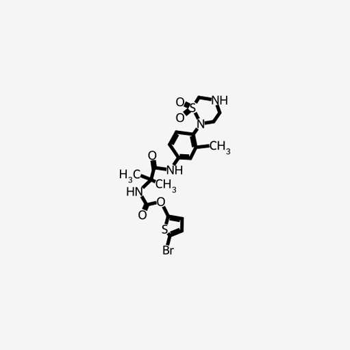 Cc1cc(NC(=O)C(C)(C)NC(=O)Oc2ccc(Br)s2)ccc1N1CCNCS1(=O)=O